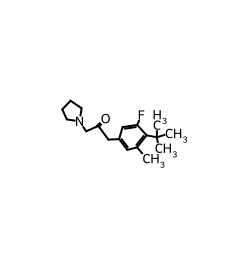 Cc1cc(CC(=O)CN2CCCC2)cc(F)c1C(C)(C)C